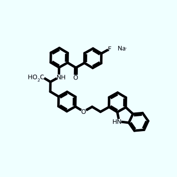 O=C(c1ccc(F)cc1)c1ccccc1NC(Cc1ccc(OCCc2cccc3c2[nH]c2ccccc23)cc1)C(=O)O.[Na]